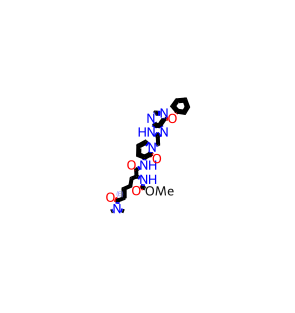 COC(=O)NC(CC/C=C/C(=O)N(C)C)C(=O)Nc1cccn(Cc2nc3c(Oc4ccccc4)ncnc3[nH]2)c1=O